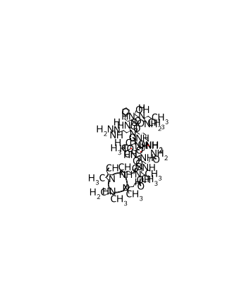 C=CC1=C(C)c2cc3[nH]c(cc4nc(cc5[nH]c(cc1n2)c(C)c5CCC(=O)N[C@H](C(=O)N[C@@H](CCC(N)=O)C(=O)N[C@@H](CCC(N)=O)C(=O)N[C@@H](CC(C)C)C(=O)NC(C(=O)N[C@@H](CCCCN)C(=O)N[C@@H](CCCNC(=N)N)C(=O)N[C@@H](Cc1ccccc1)C(=O)N[C@@H](CO)C(=O)N[C@@H](CC(C)C)C(N)=O)[C@@H](C)O)C(C)C)C(CCC(=O)O)=C4C)c(C)c3C=C